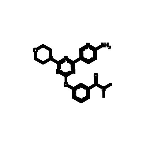 CN(C)C(=O)c1cccc(Oc2nc(-c3ccc(N)nc3)nc(N3CCOCC3)n2)c1